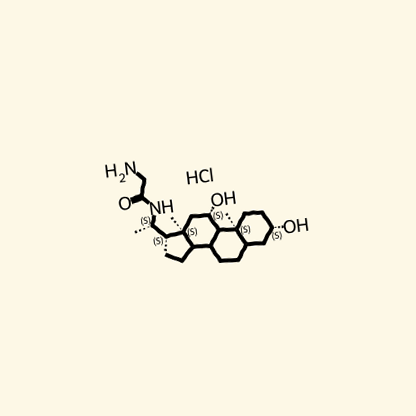 C[C@H](NC(=O)CN)[C@H]1CCC2C3CCC4C[C@@H](O)CC[C@]4(C)C3[C@@H](O)C[C@@]21C.Cl